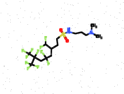 CN(C)CCCNS(=O)(=O)CCC(CC(F)(F)CC(F)(C(F)(F)F)C(F)(F)F)C(F)F